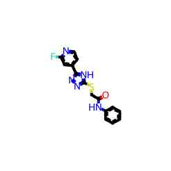 O=C(CSc1nnc(-c2ccnc(F)c2)[nH]1)Nc1ccccc1